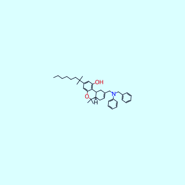 CCCCCCC(C)(C)c1cc(O)c2c(c1)OC(C)(C)[C@H]1CC=C(CN(Cc3ccccc3)c3ccccc3)CC21